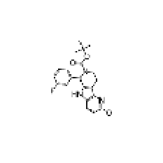 COc1ccc2[nH]c3c(c2n1)CCN(C(=O)OC(C)(C)C)C3c1cccc(F)c1